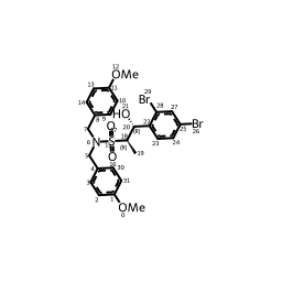 COc1ccc(CN(Cc2ccc(OC)cc2)S(=O)(=O)[C@H](C)[C@H](O)c2ccc(Br)cc2Br)cc1